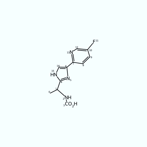 CC(NC(=O)O)c1nc(-c2ccc(F)cn2)c[nH]1